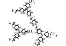 Cc1ccc(N(c2ccc(C)cc2)c2ccc(/C=C/c3ccc(/C=C/c4ccc(N(c5ccc(C)cc5)c5ccc(C)cc5)cc4)cc3)cc2)cc1.Cc1ccc(N(c2ccc(C)cc2)c2ccc(C)cc2)cc1